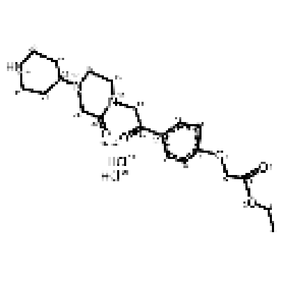 CCOC(=O)COc1ccc(C(=O)CN2CCN(C3CCNCC3)CC2=O)cc1.Cl.Cl